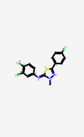 Cn1nc(-c2ccc(Cl)cc2)sc1=Nc1ccc(Cl)c(Cl)c1